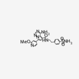 COc1cc(-c2cc(C(=O)NCCc3ccc(S(N)(=O)=O)cc3)c3c(N)ncnn23)ccn1